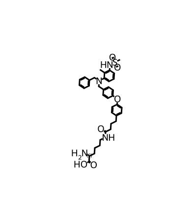 Cc1c(NS(C)(=O)=O)cccc1N(Cc1ccccc1)Cc1ccc(Oc2ccc(CCCC(=O)NCCCC[C@H](N)C(=O)O)cc2)cc1